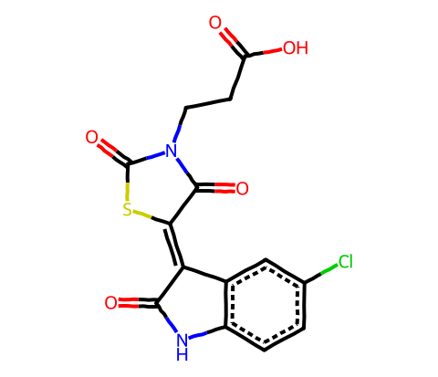 O=C(O)CCN1C(=O)S/C(=C2\C(=O)Nc3ccc(Cl)cc32)C1=O